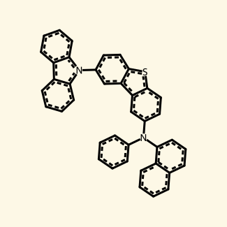 c1ccc(N(c2ccc3sc4ccc(-n5c6ccccc6c6ccccc65)cc4c3c2)c2cccc3ccccc23)cc1